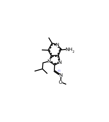 CO/N=C/c1nc2c(N)nc(C)c(C)c2n1CC(C)C